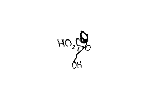 O=C(O)C1C2CCC(C2)C1C(=O)OCCCCO